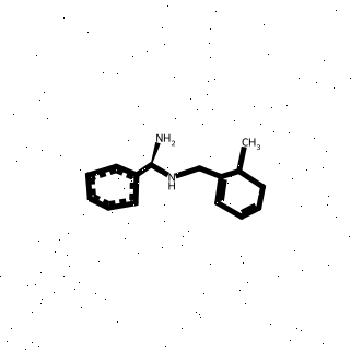 CC1CC=CC=C1CN[C@H](N)c1ccccc1